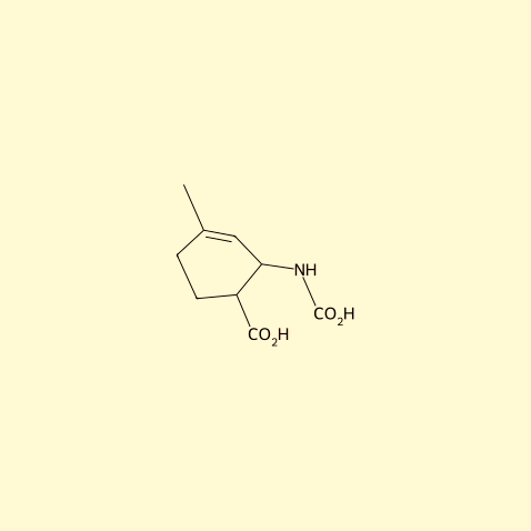 CC1=CC(NC(=O)O)C(C(=O)O)CC1